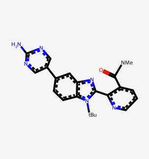 CNC(=O)c1cccnc1-c1nc2cc(-c3cnc(N)nc3)ccc2n1C(C)(C)C